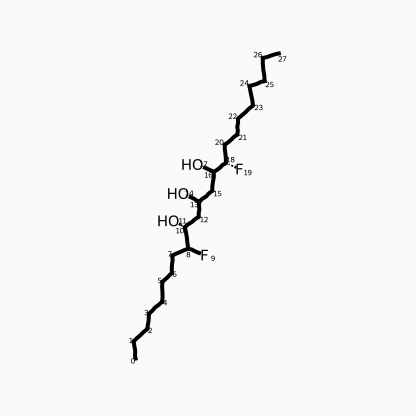 CCCCCCCCC(F)[C@H](O)CC(O)CC(O)[C@@H](F)CCCCCCCC